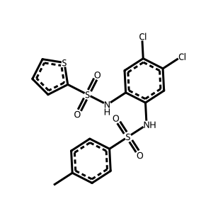 Cc1ccc(S(=O)(=O)Nc2cc(Cl)c(Cl)cc2NS(=O)(=O)c2cccs2)cc1